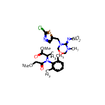 CN1COCN(Cc2cnc(Cl)s2)/C1=N/[N+](=O)[O-].COCC(=O)N(c1c(C)cccc1C)C(C)C(=O)OC